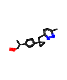 Cc1ccc(CC2(c3ccc(C(C)CO)cc3)CC2)nn1